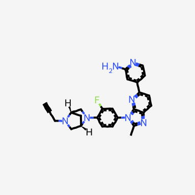 C#CCN1C[C@@H]2C[C@H]1CN2c1ccc(-n2c(C)nc3ccc(-c4ccnc(N)c4)nc32)cc1F